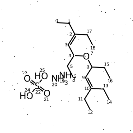 CCC(=CC(CC)OC(C=C(CC)CC)CC)CC.N.N.O=S(=O)(O)O